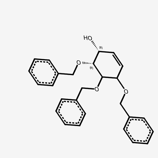 O[C@@H]1C=CC(OCc2ccccc2)C(OCc2ccccc2)[C@@H]1OCc1ccccc1